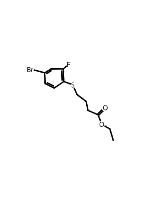 CCOC(=O)CCCSc1ccc(Br)cc1F